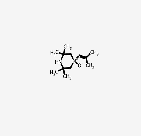 CC(C)=C[N+]1([O-])CC(C)(C)NC(C)(C)C1